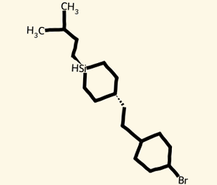 CC(C)CC[Si@H]1CC[C@H](CCC2CCC(Br)CC2)CC1